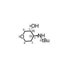 CC(C)(C)N[C@H]1CCOC[C@@H]1O